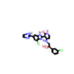 O=c1[nH]ccc(NCC(O)c2cccc(Cl)c2)c1-c1nc2c(Cl)cc(C3=NCCN3)cc2[nH]1